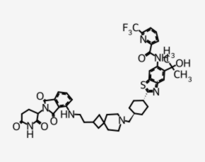 CC(C)(O)c1cc2nc([C@H]3CC[C@H](CN4CCC5(CC4)CC(CCNc4cccc6c4C(=O)N(C4CCC(=O)NC4=O)C6=O)C5)CC3)sc2cc1NC(=O)c1cccc(C(F)(F)F)n1